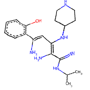 CC(C)NC(=N)/C(N)=C(/C=C(\N)c1ccccc1O)NC1CCNCC1